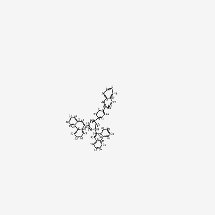 c1ccc2cc(-c3ccc(-c4nc(-c5cc6ccccc6c6ccccc56)nc(-c5cc6ccccc6c6ccccc56)n4)cc3)ncc2c1